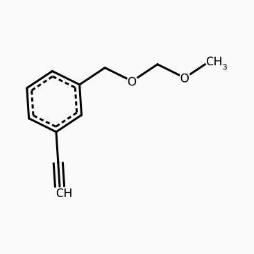 C#Cc1cccc(COCOC)c1